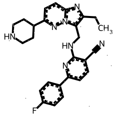 CCc1nc2ccc(C3CCNCC3)nn2c1CNc1nc(-c2ccc(F)cc2)ccc1C#N